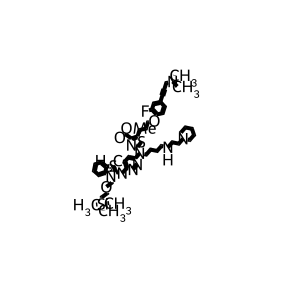 COC(=O)c1nc(N(CCCCNCCN2CCCCC2)c2cc(C)c(/N=c3\sc4ccccc4n3COCC[Si](C)(C)C)nn2)sc1CCCOc1ccc(C#CCN(C)C)cc1F